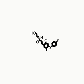 Cc1cc(/C=C/C(=O)NCCO)c(Cl)cc1Sc1ccc(F)cc1